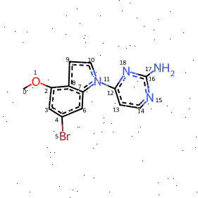 COc1cc(Br)cc2c1ccn2-c1ccnc(N)n1